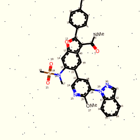 CNC(=O)c1c(-c2ccc(C)cc2)oc2cc(N(C)S(C)(=O)=O)c(-c3cnc(OC)c(-n4ncc5ccccc54)c3)cc12